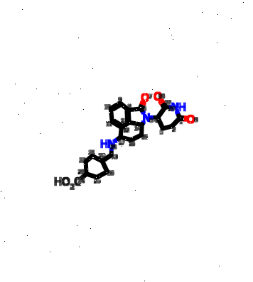 O=C1CCC(N2C(=O)c3cccc4c3C2CCC4NCC2CCC(C(=O)O)CC2)C(=O)N1